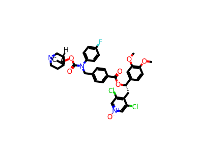 COc1ccc([C@H](Cc2c(Cl)c[n+]([O-])cc2Cl)OC(=O)c2ccc(CN(C(=O)O[C@H]3CN4CCC3CC4)c3ccc(F)cc3)cc2)cc1OC